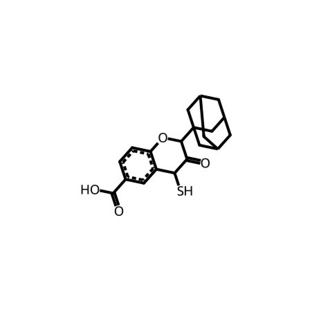 O=C(O)c1ccc2c(c1)C(S)C(=O)C(C13CC4CC(CC(C4)C1)C3)O2